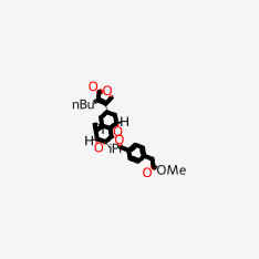 CCCCC1=C([C@@H]2C[C@@H]3O[C@@]34[C@H](OCc3ccc(CC(=O)OC)cc3)[C@@]3(C(C)C)O[C@H]3[C@@H]3C[C@@]34C2)COC1=O